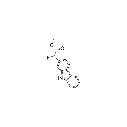 COC(=O)C(F)c1ccc2c(c1)[nH]c1ccccc12